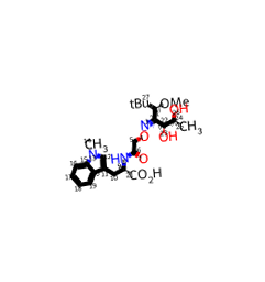 CO[C@H](/C(=N/OCC(=O)N[C@@H](Cc1cn(C)c2ccccc12)C(=O)O)[C@@H](O)[C@@H](C)O)C(C)(C)C